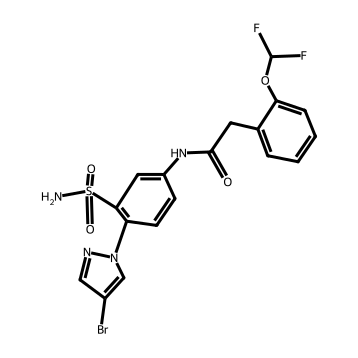 NS(=O)(=O)c1cc(NC(=O)Cc2ccccc2OC(F)F)ccc1-n1cc(Br)cn1